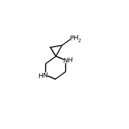 PC1CC12CNCCN2